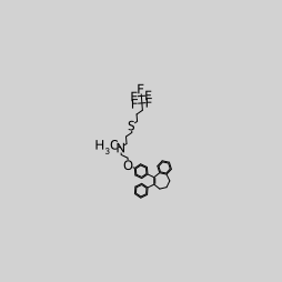 CN(CCCSCCCC(F)(F)C(F)(F)F)CCOc1ccc(C2=C(c3ccccc3)CCCc3ccccc32)cc1